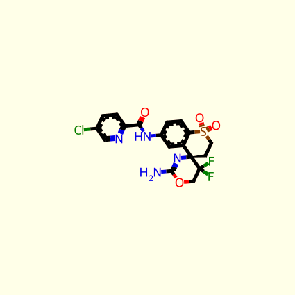 NC1=N[C@@]2(CCS(=O)(=O)c3ccc(NC(=O)c4ccc(Cl)cn4)cc32)C(F)(F)CO1